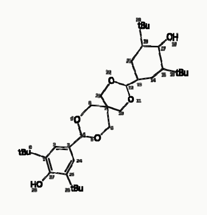 CC(C)(C)c1cc(C2OCC3(CO2)COC(C2CC(C(C)(C)C)C(O)C(C(C)(C)C)C2)OC3)cc(C(C)(C)C)c1O